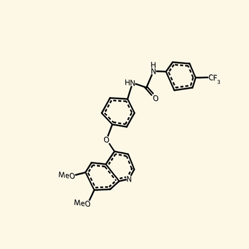 COc1cc2nccc(Oc3ccc(NC(=O)Nc4ccc(C(F)(F)F)cc4)cc3)c2cc1OC